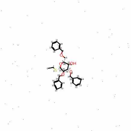 CCS[C@@H]1O[C@H](COCc2ccccc2)[C@H](O)[C@H](OCc2ccccc2)[C@H]1OCc1ccccc1